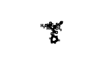 CC(=O)N[C@@H](C(=O)OC1CCCCC1)C(C)(C)SN=O